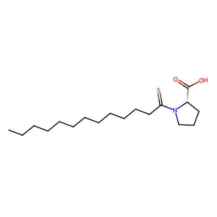 CCCCCCCCCCCCC(=S)N1CCC[C@H]1C(=O)O